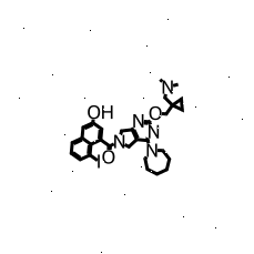 CN(C)CC1(COc2nc3c(c(N4CCCCCC4)n2)CN(C(=O)c2cc(O)cc4cccc(I)c24)C3)CC1